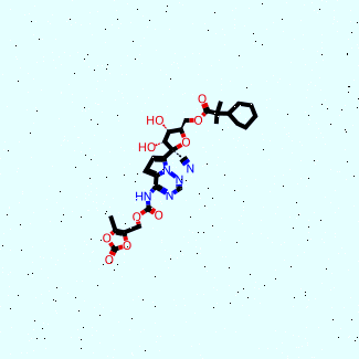 Cc1oc(=O)oc1COC(=O)Nc1ncnn2c([C@]3(C#N)O[C@H](COC(=O)C(C)(C)C4CCCCC4)[C@@H](O)[C@H]3O)ccc12